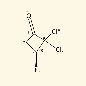 CC[C@H]1CC(=O)C1(Cl)Cl